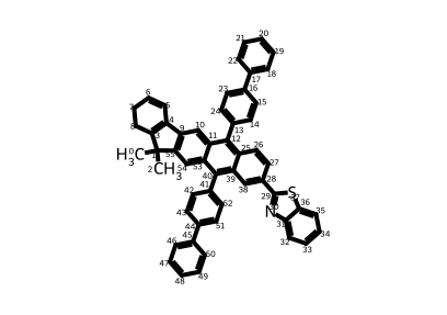 CC1(C)C2=C(C=CCC2)c2cc3c(-c4ccc(-c5ccccc5)cc4)c4ccc(-c5nc6ccccc6s5)cc4c(-c4ccc(-c5ccccc5)cc4)c3cc21